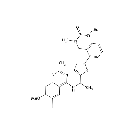 COc1cc2nc(C)nc(NC(C)c3ccc(-c4ccccc4CN(C)C(=O)OC(C)(C)C)s3)c2cc1I